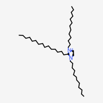 CCCCCCCCCCCCCCCc1n(CCCCCCCCCCCC)cc[n+]1CCCCCCCCCCCCC